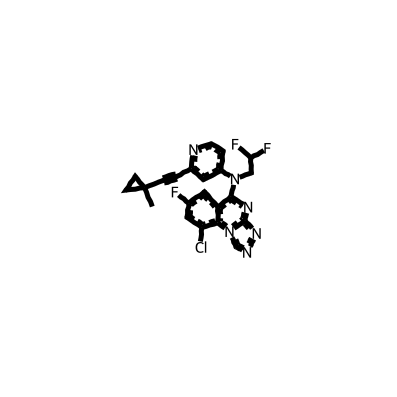 CC1(C#Cc2cc(N(CC(F)F)c3nc4nncn4c4c(Cl)cc(F)cc34)ccn2)CC1